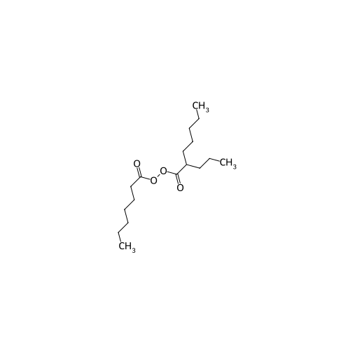 CCCCCCC(=O)OOC(=O)C(CCC)CCCCC